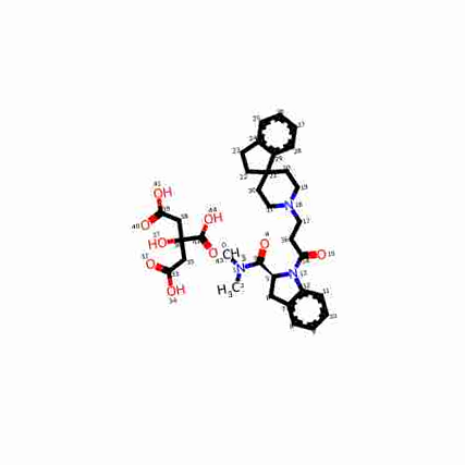 CN(C)C(=O)[C@@H]1Cc2ccccc2N1C(=O)CCN1CCC2(CCc3ccccc32)CC1.O=C(O)CC(O)(CC(=O)O)C(=O)O